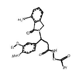 CCOc1cc(C(CC(=O)NOC(=O)C(C)C)N2Cc3cccc(N)c3C2=O)ccc1OC